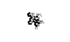 NC1=CC2=NC(CC3CCCN3Cc3cc(Cl)nc(Cl)c3)(c3ccco3)NN2C(N)=N1